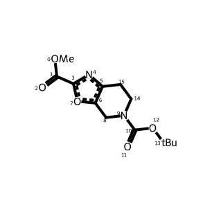 COC(=O)c1nc2c(o1)CN(C(=O)OC(C)(C)C)CC2